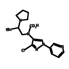 CC(C)(C)C(CN(C(=O)O)c1cn(-c2cccnc2)nc1Cl)N1CCCC1